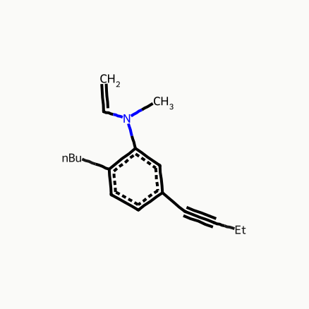 C=CN(C)c1cc(C#CCC)ccc1CCCC